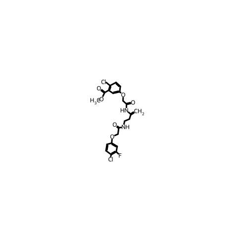 C=C(CCNC(=O)COc1ccc(Cl)c(F)c1)NC(=O)COc1ccc(Cl)c(C(=O)OC)c1